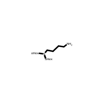 CCCCCCN(CCCCN)CCCCCC